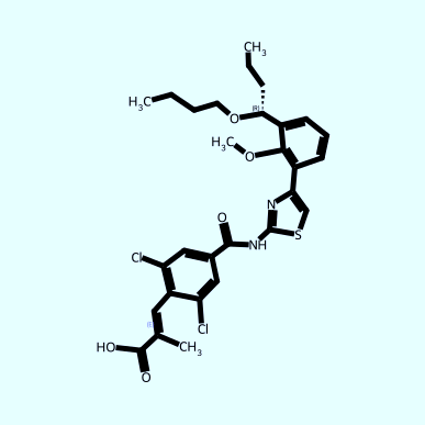 CCCCO[C@H](CCC)c1cccc(-c2csc(NC(=O)c3cc(Cl)c(/C=C(\C)C(=O)O)c(Cl)c3)n2)c1OC